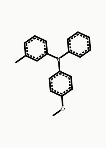 COc1ccc(N(c2ccccc2)c2cccc(C)c2)cc1